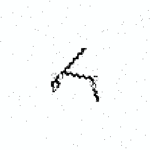 CCCCCCCCCCC(CCCCCCCCC(=O)OOCCCCC)COC(=O)C1CCN(C)CC1